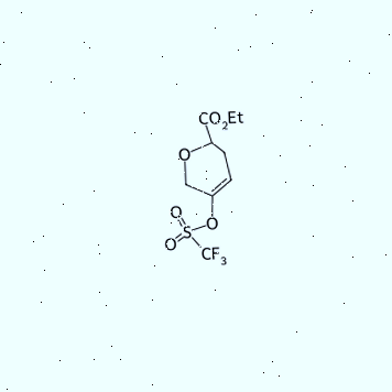 CCOC(=O)C1CC=C(OS(=O)(=O)C(F)(F)F)CO1